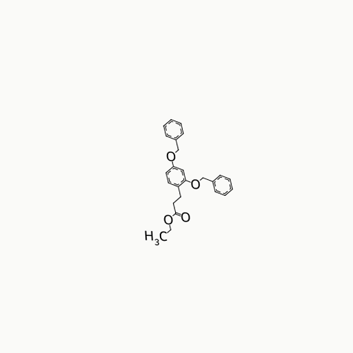 CCOC(=O)CCc1ccc(OCc2ccccc2)cc1OCc1ccccc1